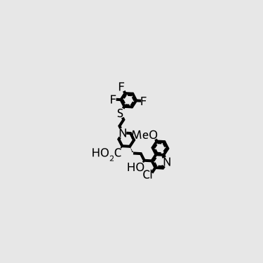 COc1ccc2ncc(Cl)c([C@@H](O)CC[C@H]3CCN(CCSc4cc(F)cc(F)c4F)C[C@H]3C(=O)O)c2c1